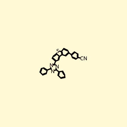 N#Cc1ccc(-c2ccc3sc4ccc(-c5nc(-c6ccccc6)nc(-c6ccccc6)n5)cc4c3c2)cc1